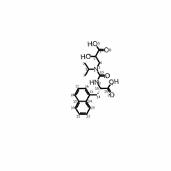 CC(C)N(CC(O)C(=O)O)C(=O)N[C@@H](Cc1cccc2ccccc12)C(=O)O